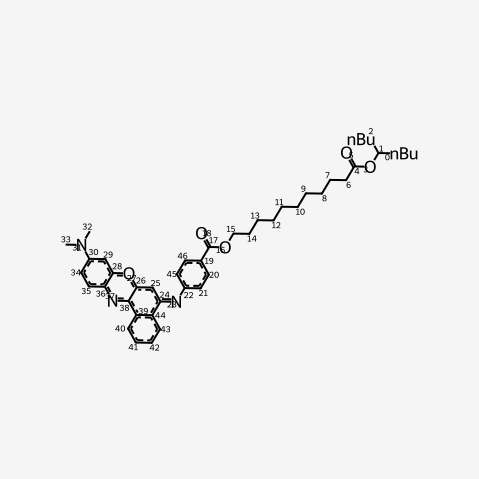 CCCCC(CCCC)OC(=O)CCCCCCCCCCOC(=O)c1ccc(/N=c2\cc3oc4cc(N(C)C)ccc4nc-3c3ccccc23)cc1